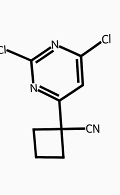 N#CC1(c2cc(Cl)nc(Cl)n2)CCC1